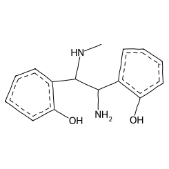 CNC(c1ccccc1O)C(N)c1ccccc1O